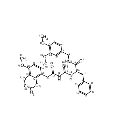 COc1ccc(CNC(=O)[C@@H](Cc2ccccc2)NC(=N)NC(=O)Cc2ccc(OC)c(OC)c2OC)cc1OC